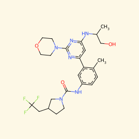 Cc1ccc(NC(=O)N2CCC(CC(F)(F)F)C2)cc1-c1cc(NC(C)CO)nc(N2CCOCC2)n1